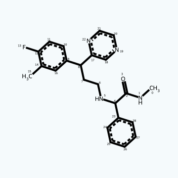 CNC(=O)C(NCCC(c1ccc(F)c(C)c1)c1cnccn1)c1ccccc1